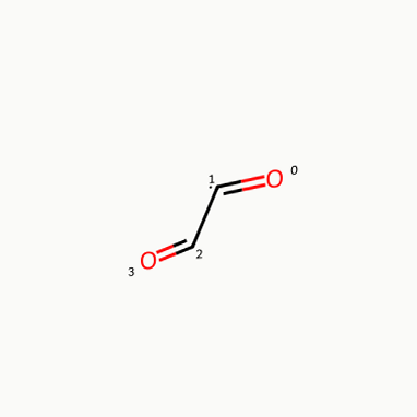 O=[C]C=O